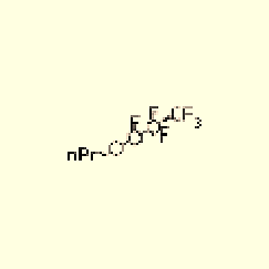 CCC/C=C/C1CCC(c2ccc(-c3cc(F)c(C#CC(F)(F)F)c(F)c3)c(F)c2)CC1